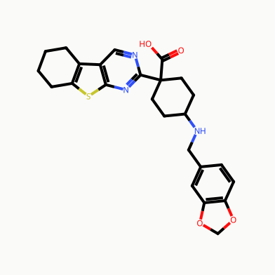 O=C(O)C1(c2ncc3c4c(sc3n2)CCCC4)CCC(NCc2ccc3c(c2)OCO3)CC1